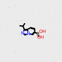 CC(C)c1ncn2cc(B(O)O)ccc12